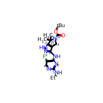 CCNc1ncc(F)c(Nc2n[nH]c3c2CN(C(=O)OC(C)(C)C)C3(C)C)n1